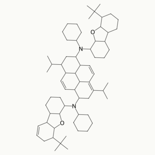 CC(C)C1=C2C=CC3C4C(C=CC(C24)C(N(C2CCCCC2)C2CCCC4C5C=CCC(C(C)(C)C)C5OC42)C1)C(C(C)C)CC3N(C1CCCCC1)C1CCCC2C3CCCC(C(C)(C)C)C3OC21